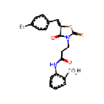 CCc1ccc(/C=C2/SC(=S)N(CCC(=O)Nc3ccccc3C(=O)O)C2=O)cc1